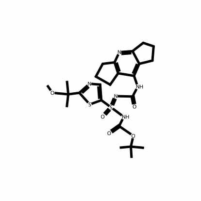 COC(C)(C)c1ncc(S(=O)(=NC(=O)Nc2c3c(nc4c2CCC4)CCC3)NC(=O)OC(C)(C)C)s1